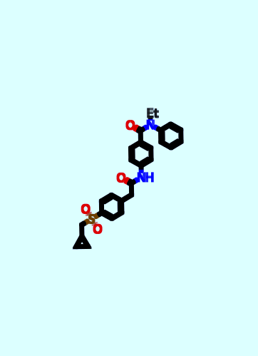 CCN(C(=O)c1ccc(NC(=O)Cc2ccc(S(=O)(=O)CC3CC3)cc2)cc1)c1ccccc1